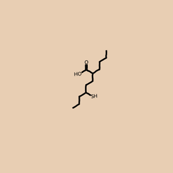 CCCCC(CCC(S)CCC)C(=O)O